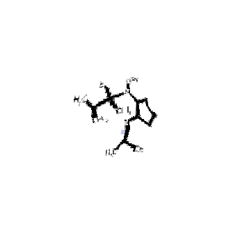 C=C(C)C(C)(CC)N(CCC)C1=C(/N=C(/C)CC)CCC1